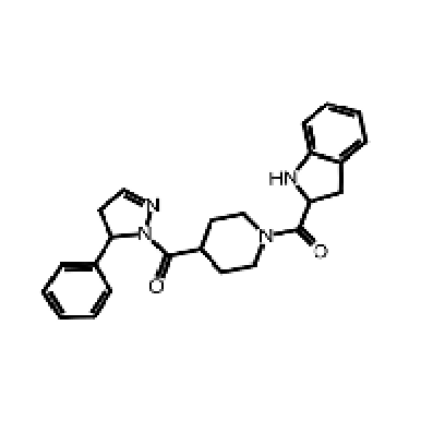 O=C(C1Cc2ccccc2N1)N1CCC(C(=O)N2N=CCC2c2ccccc2)CC1